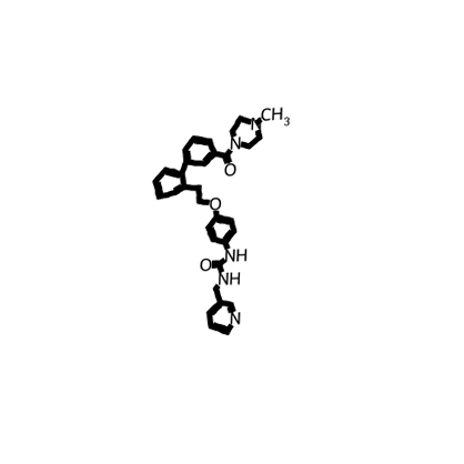 CN1CCN(C(=O)c2cccc(-c3ccccc3CCOc3ccc(NC(=O)NCc4cccnc4)cc3)c2)CC1